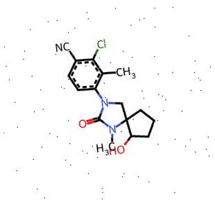 Cc1c(N2CC3(CCCC3O)N(C)C2=O)ccc(C#N)c1Cl